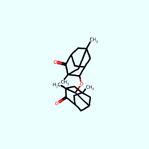 CC12CC3CC(C1)C(OC1C4CC5CC(C)(C4)CC1(C)C5=O)C(C)(C2)C3=O